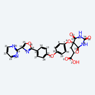 O=C(O)CCC1(Oc2ccc(Oc3ccc(-c4nc(-c5ncccn5)co4)cc3)cc2)C(=O)NC(=O)NC1=O